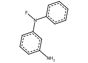 Nc1cccc(N(F)c2ccccc2)c1